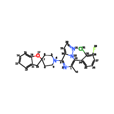 Cc1nc(N2CCC3(CC2)Cc2ccccc2O3)c2ccnn2c1-c1cccc(F)c1Cl